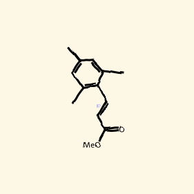 COC(=O)/C=C/c1c(C)cc(C)cc1C